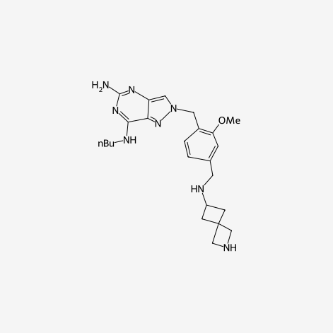 CCCCNc1nc(N)nc2cn(Cc3ccc(CNC4CC5(CNC5)C4)cc3OC)nc12